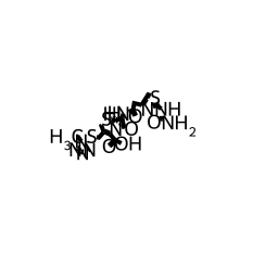 Cn1nnnc1SCC1=C(C(=O)O)N2C(=O)C(NC(=O)Cc3csc(NC(N)=O)n3)[C@H]2SC1